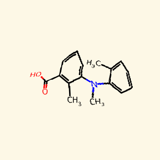 Cc1ccccc1N(C)c1cccc(C(=O)O)c1C